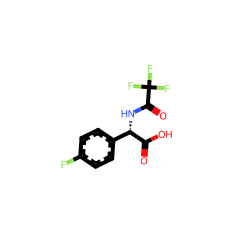 O=C(O)[C@@H](NC(=O)C(F)(F)F)c1ccc(F)cc1